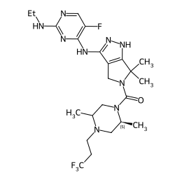 CCNc1ncc(F)c(Nc2n[nH]c3c2CN(C(=O)N2CC(C)N(CCC(F)(F)F)C[C@@H]2C)C3(C)C)n1